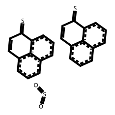 O=S=O.S=C1C=Cc2cccc3cccc1c23.S=C1C=Cc2cccc3cccc1c23